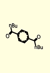 CCCCC(=O)c1ccc(C(=O)CCCC)cc1